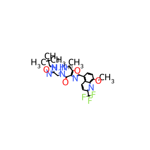 COc1ccc(-c2nc(C(=O)NCc3noc(C(C)(C)C)n3)c([C@H](C)N)o2)c2ccc(C(F)(F)F)nc12